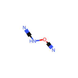 N#CNOC#N